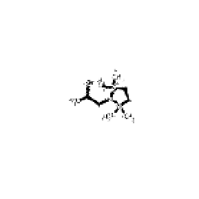 CC(Br)CN1[Si](C)(C)CC[Si]1(C)C